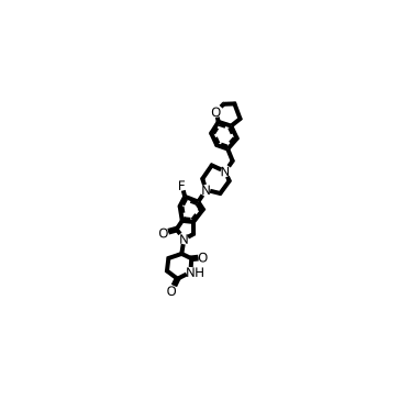 O=C1CCC(N2Cc3cc(N4CCN(Cc5ccc6c(c5)CCCO6)CC4)c(F)cc3C2=O)C(=O)N1